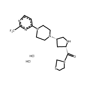 Cl.Cl.O=C([C@@H]1C[C@H](N2CCN(c3ccnc(C(F)(F)F)n3)CC2)CN1)N1CCSC1